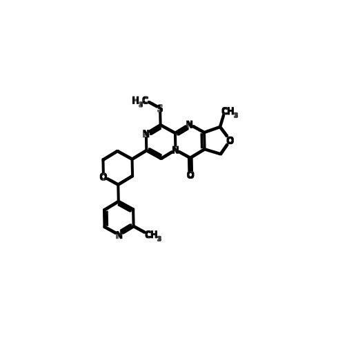 CSc1nc(C2CCOC(c3ccnc(C)c3)C2)cn2c(=O)c3c(nc12)C(C)OC3